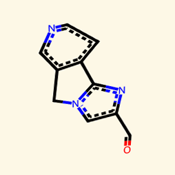 O=Cc1cn2c(n1)-c1ccncc1C2